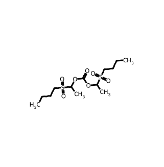 CCCCS(=O)(=O)C(C)OC(=O)OC(C)S(=O)(=O)CCCC